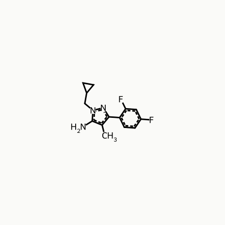 Cc1c(-c2ccc(F)cc2F)nn(CC2CC2)c1N